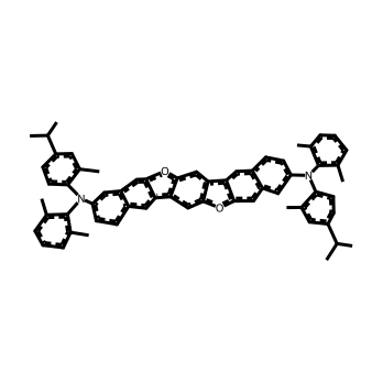 Cc1cc(C(C)C)ccc1N(c1ccc2cc3c(cc2c1)oc1cc2c(cc13)oc1cc3cc(N(c4ccc(C(C)C)cc4C)c4c(C)cccc4C)ccc3cc12)c1c(C)cccc1C